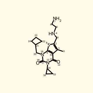 Cc1c(CNCCN)sc2c1c(=O)n(C1CC1)c(=O)n2CC1CCC1